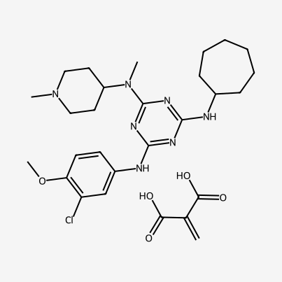 C=C(C(=O)O)C(=O)O.COc1ccc(Nc2nc(NC3CCCCCC3)nc(N(C)C3CCN(C)CC3)n2)cc1Cl